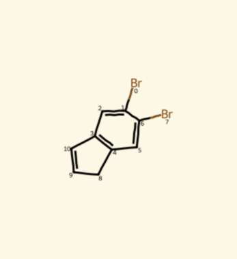 Brc1cc2c(cc1Br)CC=C2